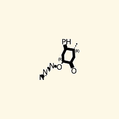 C[C@@H]1CC(=O)[C@H](ON=[N+]=[N-])CC1=P